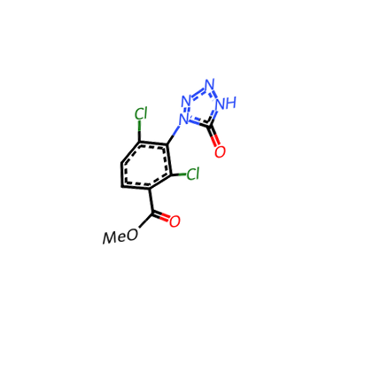 COC(=O)c1ccc(Cl)c(-n2nn[nH]c2=O)c1Cl